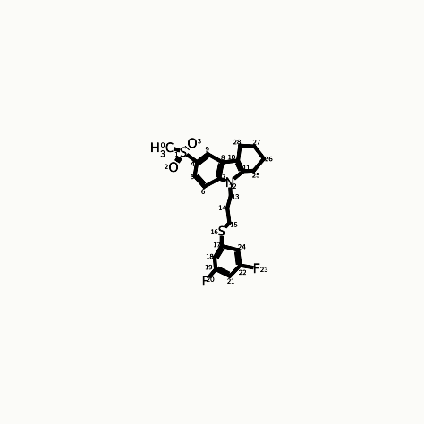 CS(=O)(=O)c1ccc2c(c1)c1c(n2CCCSc2cc(F)cc(F)c2)CCCC1